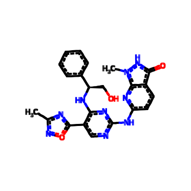 Cc1noc(-c2cnc(Nc3ccc4c(=O)[nH]n(C)c4n3)nc2N[C@H](CO)c2ccccc2)n1